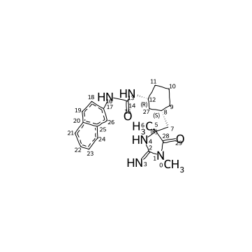 CN1C(=N)N[C@](C)(C[C@H]2CCC[C@@H](NC(=O)Nc3ccc4ccccc4c3)C2)C1=O